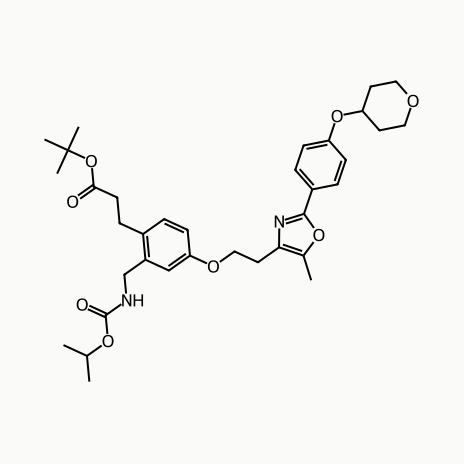 Cc1oc(-c2ccc(OC3CCOCC3)cc2)nc1CCOc1ccc(CCC(=O)OC(C)(C)C)c(CNC(=O)OC(C)C)c1